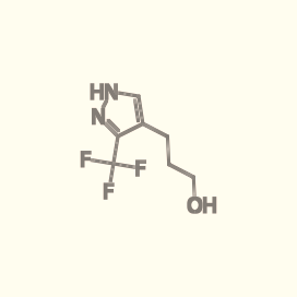 OCCCc1c[nH]nc1C(F)(F)F